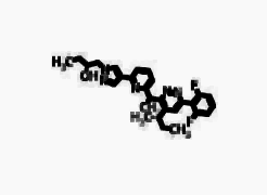 CC[C@H](O)Cn1cc(-c2cccc(C(C)c3nnc(-c4c(F)cccc4F)cc3[C@@H](C)CC)n2)cn1